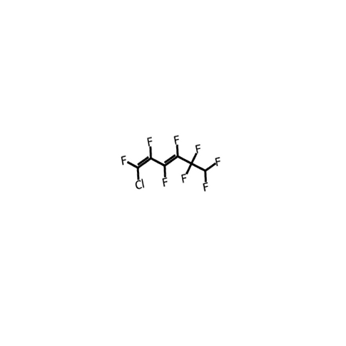 FC(Cl)=C(F)C(F)=C(F)C(F)(F)C(F)F